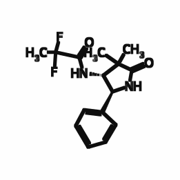 CC(F)(F)C(=O)N[C@H]1[C@H](c2ccccc2)NC(=O)C1(C)C